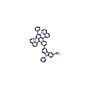 N#Cc1ccc2c(c1)c1cc(-c3ccc4c(-c5cccc6cccnc56)c5cc(-c6ccccc6)ccc5c(-c5cccc6cccnc56)c4c3)ccc1n2-c1ccccc1